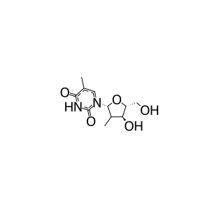 Cc1cn([C@@H]2O[C@H](CO)[C@@H](O)C2C)c(=O)[nH]c1=O